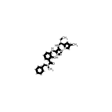 CC[C@@H](Nc1nsnc1Nc1cccc(C(=O)N(C)Cc2ccccc2)c1O)c1cc(C)co1